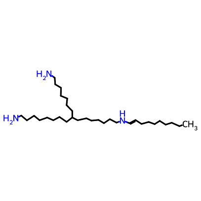 CCCCCCCCC=CNCCCCCCCC(CCCCCCCN)CCCCCCCCN